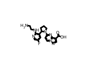 NCCNc1ncc(F)cc1C1CCCN1c1ccn2ncc(C(=O)O)c2n1